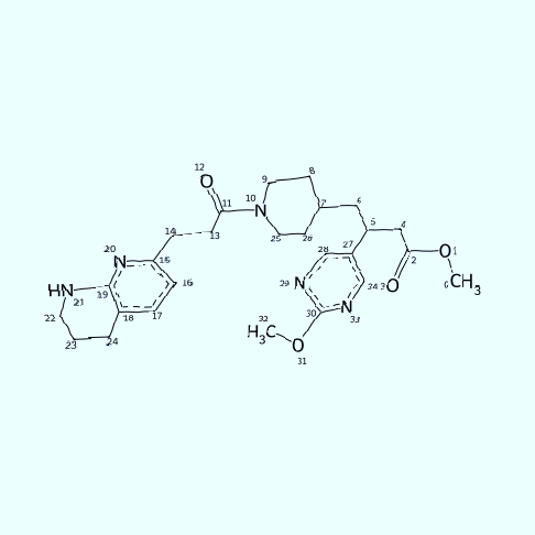 COC(=O)CC(CC1CCN(C(=O)CCc2ccc3c(n2)NCCC3)CC1)c1cnc(OC)nc1